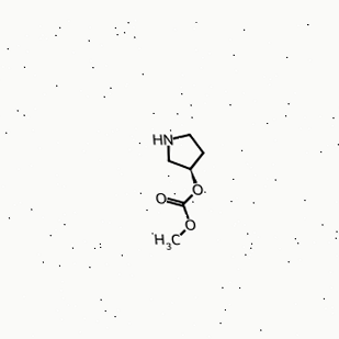 COC(=O)O[C@@H]1CCNC1